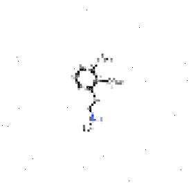 CCNCCc1cccc(OC)c1OC